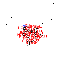 CC1C(O)[C@H](O[C@@H]2OC(CO[C@]3(C(=O)O)CC(O)[C@@H](N)C([C@@H](O)C(O)CO)O3)[C@H](O)[C@H](O)C2O)C(CO)O[C@H]1OC1[C@@H](OCC2O[C@@H](OC3C(CO)O[C@@H](OC4C(CO)O[C@@H](C)C(C)[C@H]4O)C(C)[C@H]3O)C(O)[C@@H](O[C@H]3O[C@H](CO)[C@@H](O)C(O)C3O[C@@H]3OC(CO)C(O[C@@H]4OC(CO)C(O)[C@H](O)C4O)[C@H](O)C3C)C2O)OC(CO)C(O)[C@@H]1O